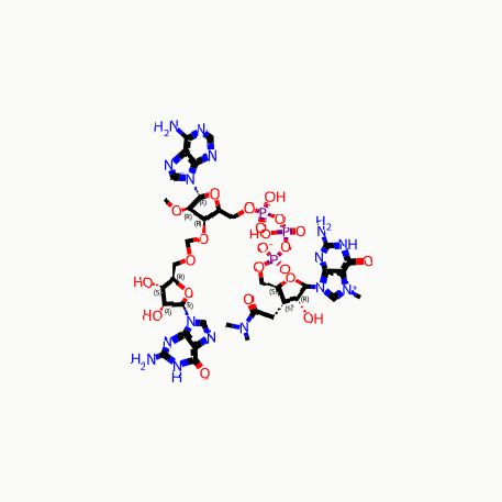 CO[C@@H]1[C@H](OCOC[C@H]2O[C@@H](n3cnc4c(=O)[nH]c(N)nc43)[C@H](O)[C@@H]2O)C(COP(=O)(O)OP(=O)(O)OP(=O)([O-])OC[C@H]2OC(n3c[n+](C)c4c(=O)[nH]c(N)nc43)[C@H](O)[C@@H]2CC(=O)N(C)C)O[C@H]1n1cnc2c(N)ncnc21